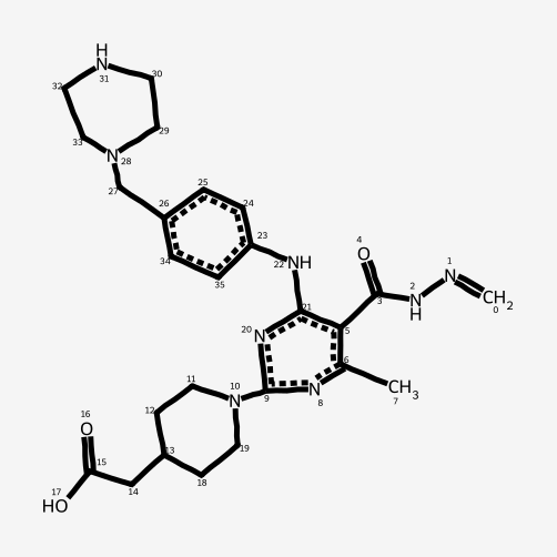 C=NNC(=O)c1c(C)nc(N2CCC(CC(=O)O)CC2)nc1Nc1ccc(CN2CCNCC2)cc1